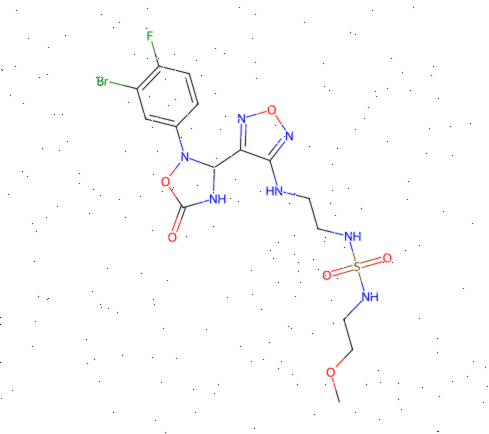 COCCNS(=O)(=O)NCCNc1nonc1C1NC(=O)ON1c1ccc(F)c(Br)c1